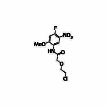 COc1cc(F)c([N+](=O)[O-])cc1NC(=O)COCCCl